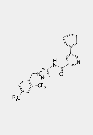 O=C(Nc1cnn(Cc2ccc(C(F)(F)F)cc2C(F)(F)F)c1)c1cncc(-c2ccccc2)c1